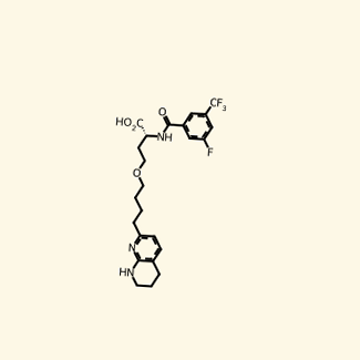 O=C(N[C@H](CCOCCCCc1ccc2c(n1)NCCC2)C(=O)O)c1cc(F)cc(C(F)(F)F)c1